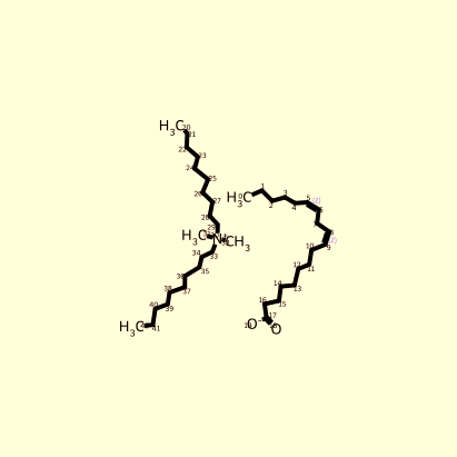 CCCCC/C=C\C/C=C\CCCCCCCC(=O)[O-].CCCCCCCCCC[N+](C)(C)CCCCCCCCCC